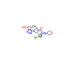 C[C@@H]1C[C@H](O)c2ncnc(N3CCN(C(=O)[C@H](CNC4CCOCC4)c4ccc(Br)s4)CC3)c21